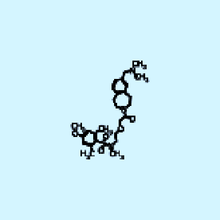 COc1cc(C)c(S(=O)(=O)N(C)CCOCC(=O)N2CCc3ccc(CN(C)C)cc3CC2)c(C)c1